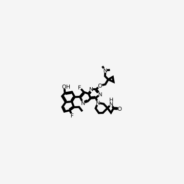 CCc1c(F)ccc2cc(O)cc(-c3ncc4c(N5CCCC6(CC(=O)N6)C5)nc(OCC5(CN(C)C)CC5)nc4c3F)c12